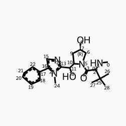 CN[C@H](C(=O)N1C[C@H](O)CC1C(O)c1ncc(-c2ccccc2)n1C)C(C)(C)C